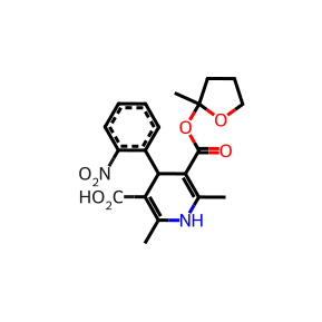 CC1=C(C(=O)O)C(c2ccccc2[N+](=O)[O-])C(C(=O)OC2(C)CCCO2)=C(C)N1